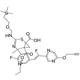 C#CCOc1cnc(C(F)=Cc2cnc(F)c(C3(C)N=C(NCOCC[Si](C)(C)C)SC4(C(=O)O)CC43C(=O)OCCCC)c2)cn1